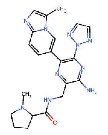 Cc1cnc2ccc(-c3nc(CNC(=O)C4CCCN4C)c(N)nc3-n3nccn3)cn12